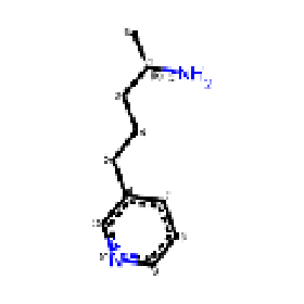 C[C@@H](N)CCCc1cccnc1